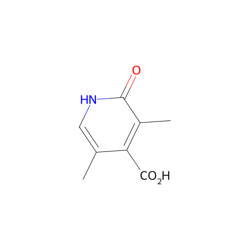 Cc1c[nH]c(=O)c(C)c1C(=O)O